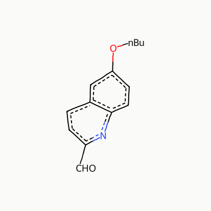 CCCCOc1ccc2nc(C=O)ccc2c1